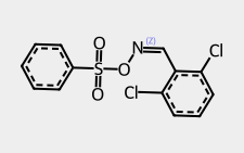 O=S(=O)(O/N=C\c1c(Cl)cccc1Cl)c1ccccc1